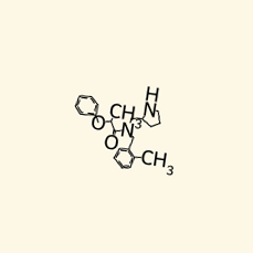 Cc1ccccc1CN(CC1CCCN1)C(=O)C(C)Oc1ccccc1